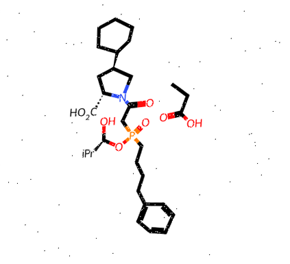 CC(C)[C@@H](O)OP(=O)(CCCCc1ccccc1)CC(=O)N1C[C@H](C2CCCCC2)C[C@H]1C(=O)O.CCC(=O)O